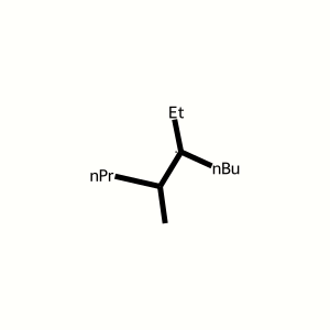 CCCC[C](CC)C(C)CCC